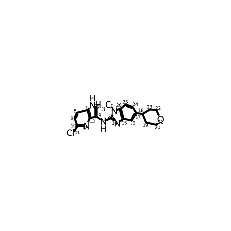 Cn1c(Nc2c[nH]c3ccc(Cl)nc23)nc2cc(C3CCOCC3)ccc21